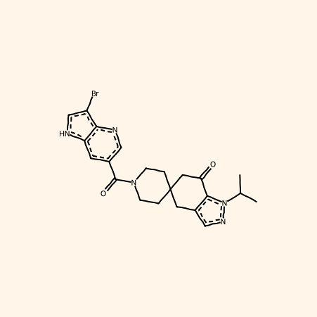 CC(C)n1ncc2c1C(=O)CC1(CCN(C(=O)c3cnc4c(Br)c[nH]c4c3)CC1)C2